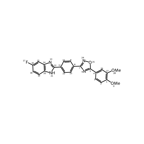 COc1ccc(-c2nc(-c3ccc(-c4nc5cc(F)ccc5[nH]4)cc3)no2)cc1OC